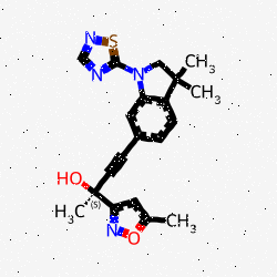 Cc1cc([C@@](C)(O)C#Cc2ccc3c(c2)N(c2ncns2)CC3(C)C)no1